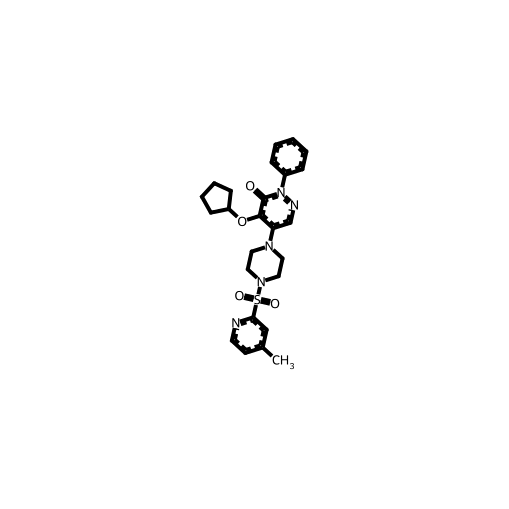 Cc1ccnc(S(=O)(=O)N2CCN(c3cnn(-c4ccccc4)c(=O)c3OC3CCCC3)CC2)c1